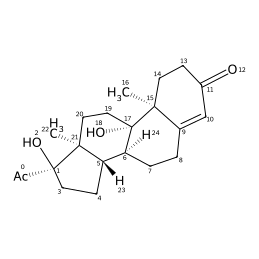 CC(=O)[C@@]1(O)CC[C@H]2[C@@H]3CCC4=CC(=O)CC[C@]4(C)[C@]3(O)CC[C@@]21C